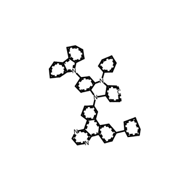 c1ccc(-c2ccc3c(c2)c2cc(N4c5ccccc5N(c5ccccc5)c5cc(-n6c7ccccc7c7ccccc76)ccc54)ccc2c2nccnc32)cc1